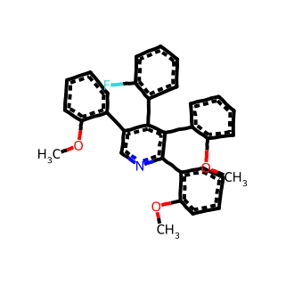 COc1ccccc1-c1cnc(-c2ccccc2OC)c(-c2ccccc2OC)c1-c1ccccc1F